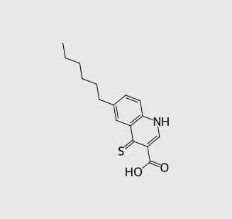 CCCCCCc1ccc2[nH]cc(C(=O)O)c(=S)c2c1